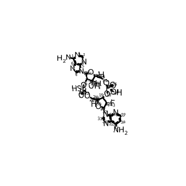 Nc1ncnc2c1ncn2[C@@H]1O[C@@H]2COP(=O)(O)OC3[C@@H](CO[P@](=O)(S)OC1[C@H]2O)O[C@@H](n1cnc2c(N)ccnc21)[C@H]3F